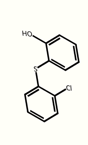 Oc1ccccc1Sc1ccccc1Cl